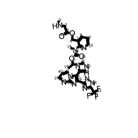 CNCC(=O)OCc1cccnc1N(C)C(=O)OC(C)n1cncc1-c1c(-c2nc(C(F)(F)F)n[nH]2)nc2ncccn12